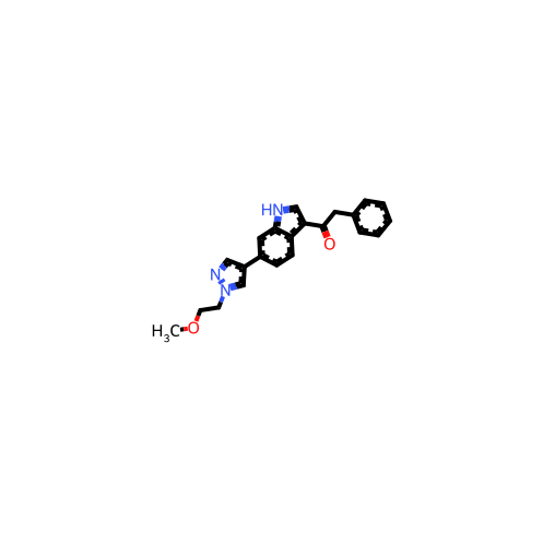 COCCn1cc(-c2ccc3c(C(=O)Cc4ccccc4)c[nH]c3c2)cn1